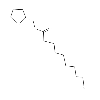 NCCCCCCCCC(=O)NC[C@H]1CCCO1